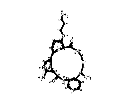 CN1CCCNC(=O)c2cc(ccc2OCCCN)-c2cnc(N)c(n2)C(=O)Nc2cnccc21